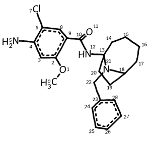 COc1cc(N)c(Cl)cc1C(=O)NC12CCCCC(CC1)N2Cc1ccccc1